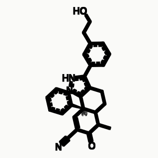 CC1C(=O)C(C#N)=C[C@]2(c3ccccc3)c3n[nH]c(-c4cccc(CCO)c4)c3CCC12